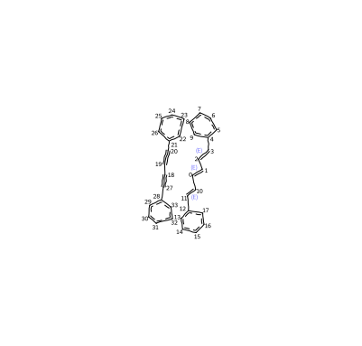 C(=C\C=C\c1ccccc1)/C=C/c1ccccc1.C(C#Cc1ccccc1)#Cc1ccccc1